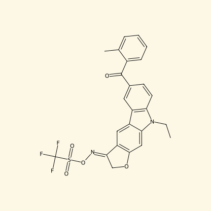 CCn1c2ccc(C(=O)c3ccccc3C)cc2c2cc3c(cc21)OC/C3=N\OS(=O)(=O)C(F)(F)F